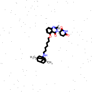 Cc1nc2cccc(OCCCCCCCNC34CC5C[C@@](C)(C3)C[C@](C)(C5)C4)c2c(=O)n1[C@H]1CCC(=O)NC1=O